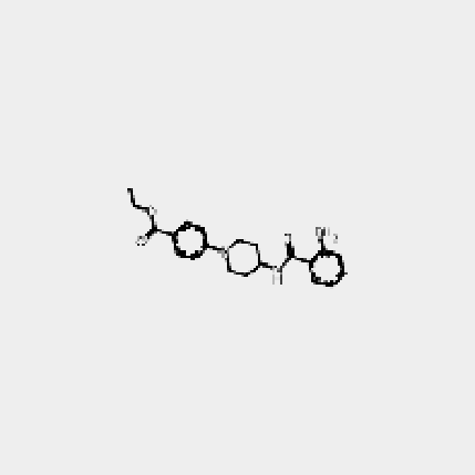 Bc1ccccc1C(=O)NC1CCN(c2ccc(C(=O)OCC)cc2)CC1